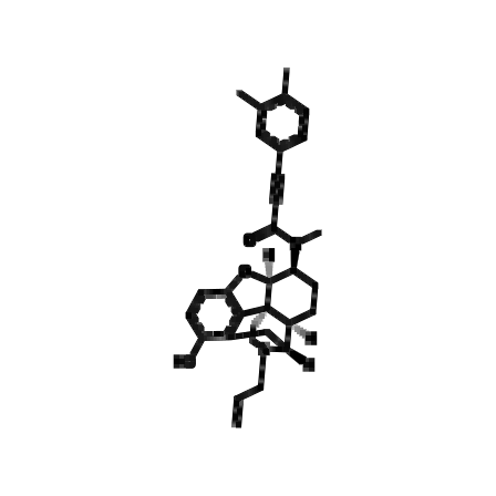 C=CCN1CC[C@@]23c4c5ccc(O)c4C[C@@H]1[C@@H]2CC[C@H](N(C)C(=O)C#Cc1ccc(C)c(C)c1)[C@@H]3O5